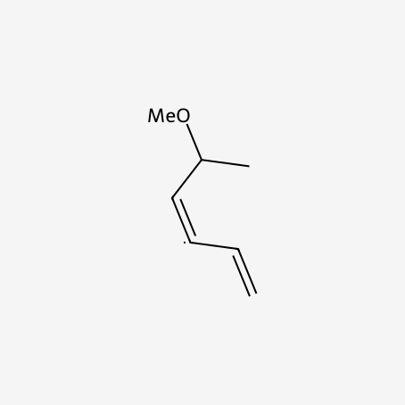 C=C/[C]=C\C(C)OC